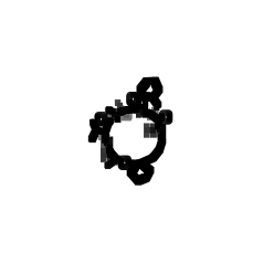 CC(C)[C@@H]1NC[C@H](C)Oc2ccccc2CCCNC(=O)[C@@H](Cc2ccccc2)NC(=O)[C@@H](C)N(C)C1=O